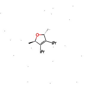 CC(C)C1=C(C(C)C)[C@@H](C)O[C@@H]1C